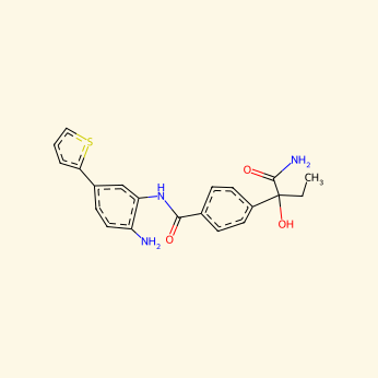 CCC(O)(C(N)=O)c1ccc(C(=O)Nc2cc(-c3cccs3)ccc2N)cc1